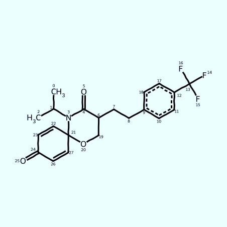 CC(C)N1C(=O)C(CCc2ccc(C(F)(F)F)cc2)COC12C=CC(=O)C=C2